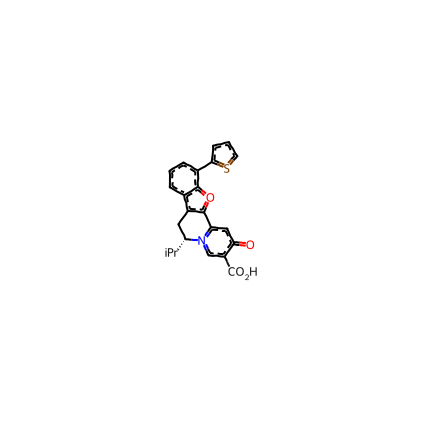 CC(C)[C@@H]1Cc2c(oc3c(-c4cccs4)cccc23)-c2cc(=O)c(C(=O)O)cn21